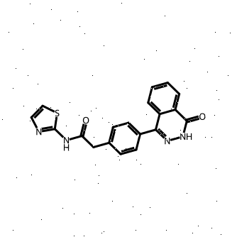 O=C(Cc1ccc(-c2n[nH]c(=O)c3ccccc23)cc1)Nc1nccs1